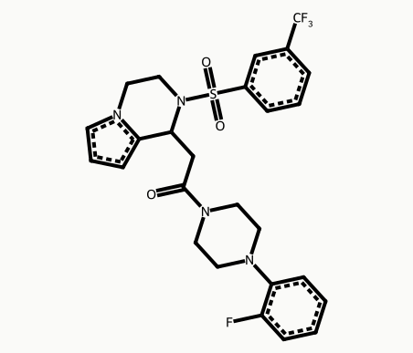 O=C(CC1c2cccn2CCN1S(=O)(=O)c1cccc(C(F)(F)F)c1)N1CCN(c2ccccc2F)CC1